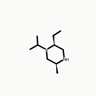 CC[C@H]1CN[C@@H](C)CN1C(C)C